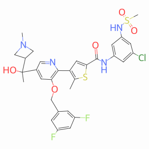 Cc1sc(C(=O)Nc2cc(Cl)cc(NS(C)(=O)=O)c2)cc1-c1ncc(C(C)(O)C2CN(C)C2)cc1OCc1cc(F)cc(F)c1